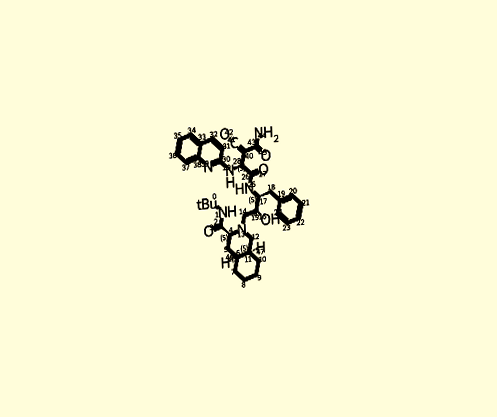 CC(C)(C)NC(=O)[C@@H]1C[C@@H]2CCCC[C@@H]2CN1C[C@@H](O)[C@H](Cc1ccccc1)NC(=O)[C@@H](Nc1ccc2ccccc2n1)C(=C=O)C(N)=O